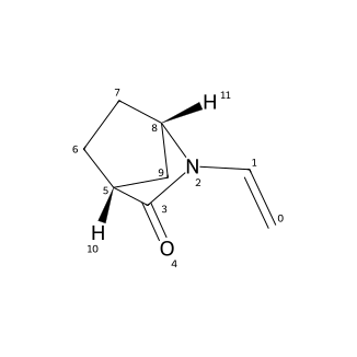 C=CN1C(=O)[C@@H]2CC[C@H]1C2